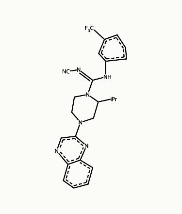 CC(C)C1CN(c2cnc3ccccc3n2)CCN1/C(=N\C#N)Nc1cccc(C(F)(F)F)c1